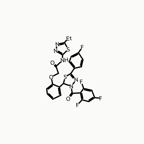 CCc1nnc(NC(=O)COc2ccccc2C2SC(c3ccc(F)cc3)=NN2C(=O)c2c(F)cc(F)cc2F)s1